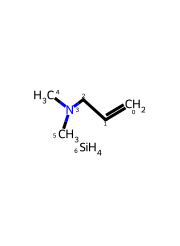 C=CCN(C)C.[SiH4]